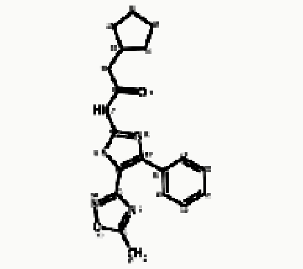 Cc1nc(-c2sc(NC(=O)CC3CCCC3)nc2-c2ccccc2)no1